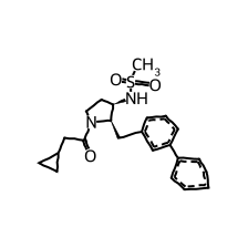 CS(=O)(=O)N[C@@H]1CCN(C(=O)CC2CC2)[C@@H]1Cc1cccc(-c2ccccc2)c1